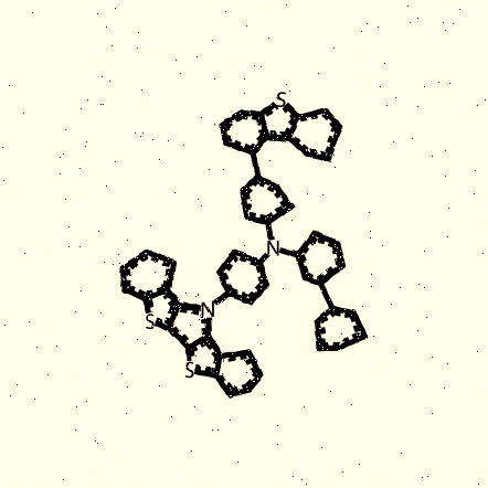 c1ccc(-c2cccc(N(c3ccc(-c4cccc5sc6ccccc6c45)cc3)c3ccc(-n4c5c6ccccc6sc5c5sc6ccccc6c54)cc3)c2)cc1